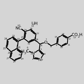 Cn1cncc1C(OCc1ccc(C(=O)O)cc1)c1ccc(C#N)c(-c2cccc3ccccc23)c1.[LiH]